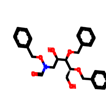 O=CN(C[C@@H](O)[C@@H](OCc1ccccc1)[C@@H](CO)OCc1ccccc1)OCc1ccccc1